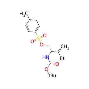 C=C(CC)[C@@H](COS(=O)(=O)c1ccc(C)cc1)NC(=O)OC(C)(C)C